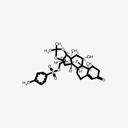 Cc1ccc(S(=O)(=O)OCC(=O)[C@@]23OC(C)(C)O[C@@H]2C[C@H]2[C@@H]4CCC5=CC(=O)CC[C@]5(C)[C@@]4(F)[C@@H](O)C[C@@]23C)cc1